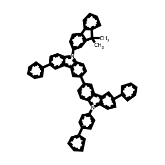 CC1(C)c2ccccc2-c2ccc(-n3c4ccc(-c5ccccc5)cc4c4cc(-c5ccc6c(c5)c5cc(-c7ccccc7)ccc5n6-c5ccc(-c6ccccc6)cc5)ccc43)cc21